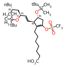 CCCC[C@@H](C)C[C@@H](C=C[C@@H]1C(CCCCCCC(=O)O)=C(OS(=O)(=O)C(F)(F)F)C[C@H]1O[Si](C)(C)C(C)(C)C)O[Si](C)(C)C(C)(C)C